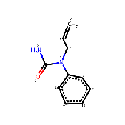 C=CCN(C(N)=O)c1c[c]ccc1